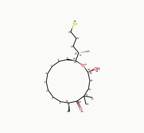 C[C@H]1CCCCCCCC[C@@H]([C@@H](C)CCCS)O[C@@H](O)CCC(C)(C)C1=O